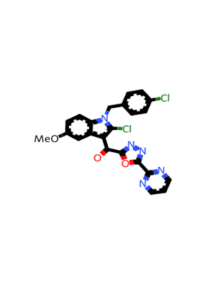 COc1ccc2c(c1)c(C(=O)c1nnc(-c3ncccn3)o1)c(Cl)n2Cc1ccc(Cl)cc1